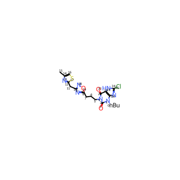 CCCCn1c(=O)n(CCCc2nc(Cc3nc(C)cs3)no2)c(=O)c2[nH]c(Cl)nc21